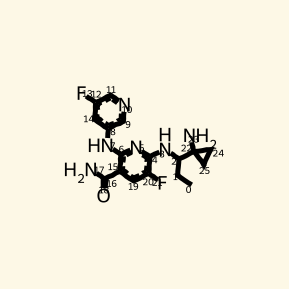 CCC(Nc1nc(Nc2cncc(F)c2)c(C(N)=O)cc1F)C1(N)CC1